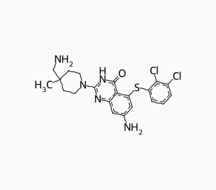 CC1(CN)CCN(c2nc3cc(N)cc(Sc4cccc(Cl)c4Cl)c3c(=O)[nH]2)CC1